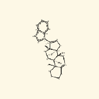 C[C@]12CCCCC1=CC[C@@H]1[C@@H]2CC[C@]2(C)C(n3cnc4ccccc43)=CC[C@@H]12